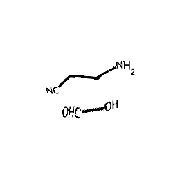 N#CCCN.O=CO